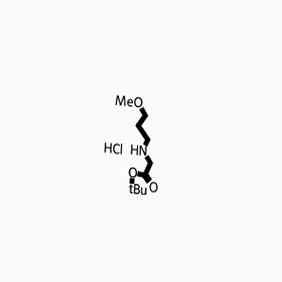 COCCCNCC(=O)OC(C)(C)C.Cl